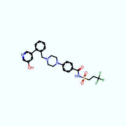 O=C(NS(=O)(=O)CCC(F)(F)F)c1ccc(N2CCN(Cc3ccccc3-c3cncc(O)c3)CC2)cc1